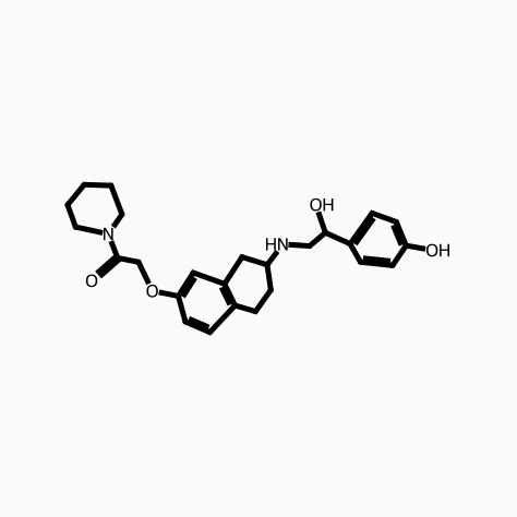 O=C(COc1ccc2c(c1)CC(NCC(O)c1ccc(O)cc1)CC2)N1CCCCC1